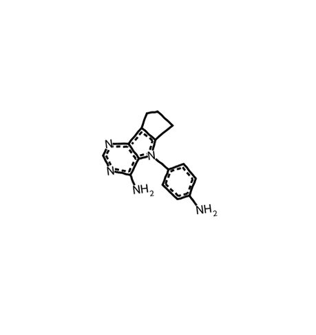 Nc1ccc(-n2c3c(c4ncnc(N)c42)CCC3)cc1